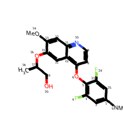 CNc1cc(F)c(Oc2ccnc3cc(OC)c(OC(C)CO)cc23)c(F)c1